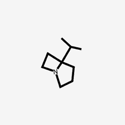 CC(C)C12CCCN1CC2